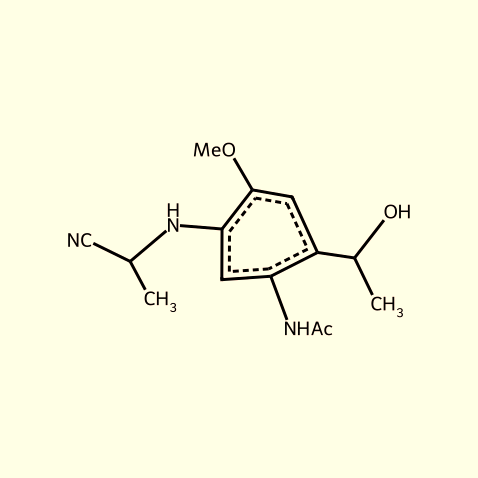 COc1cc(C(C)O)c(NC(C)=O)cc1NC(C)C#N